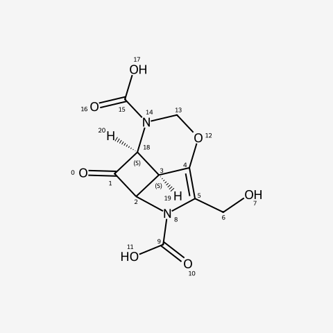 O=C1C2[C@@H]3C(=C(CO)N2C(=O)O)OCN(C(=O)O)[C@H]13